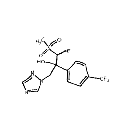 CS(=O)(=O)C(F)C(O)(Cn1cncn1)c1ccc(C(F)(F)F)cc1